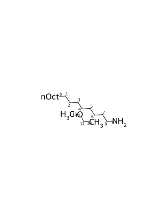 CCCCCCCCCCCCCCCCN.CCOC